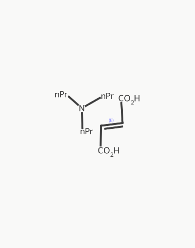 CCCN(CCC)CCC.O=C(O)/C=C/C(=O)O